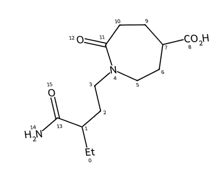 CCC(CCN1CCC(C(=O)O)CCC1=O)C(N)=O